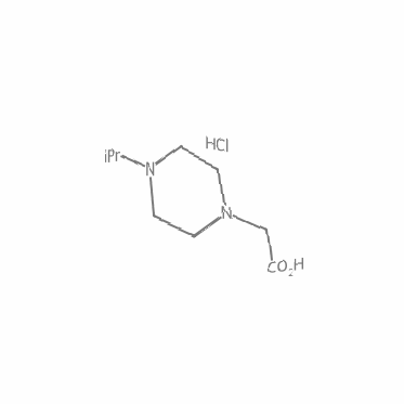 CC(C)N1CCN(CC(=O)O)CC1.Cl